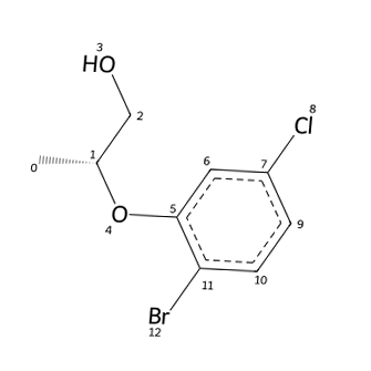 C[C@H](CO)Oc1cc(Cl)ccc1Br